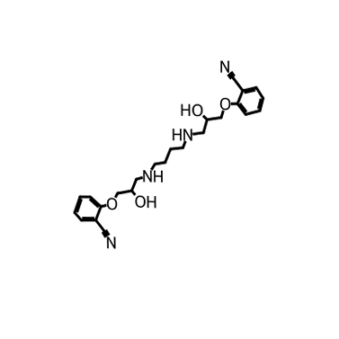 N#Cc1ccccc1OCC(O)CNCCCCNCC(O)COc1ccccc1C#N